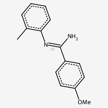 COc1ccc(/C(N)=N/c2ccccc2C)cc1